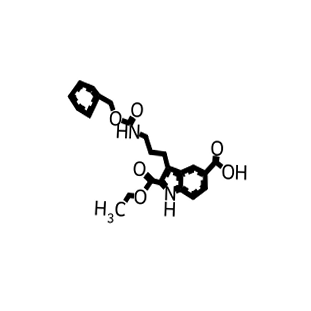 CCOC(=O)c1[nH]c2ccc(C(=O)O)cc2c1CCCNC(=O)OCc1ccccc1